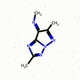 C/N=C1\C(C)=Nn2nc(C)nc21